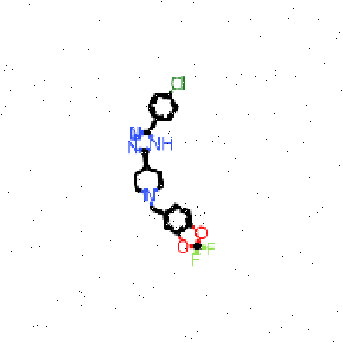 FC1(F)Oc2ccc(CN3CCC(c4nnc(-c5ccc(Cl)cc5)[nH]4)CC3)cc2O1